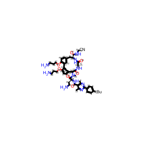 Cc1nc(-c2ccc(C(C)(C)C)cc2)nc(C)c1C(=O)N[C@@H](CCN)C(=O)N(C)[C@@H]1C(=O)N[C@@H](C)C(=O)N[C@H](C(=O)NCC#N)Cc2ccc(OCCCN)c(c2)-c2cc1ccc2OCCCN